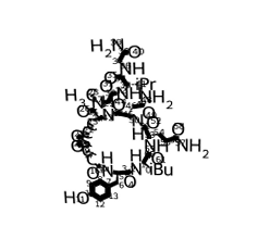 CC[C@H](C)[C@@H]1NC(=O)[C@@H](Cc2ccc(O)cc2)NC(=O)CCS(=O)(=O)CC[C@@H](C(=O)N(C)CC(=O)N[C@H](C(=O)NCC(N)=O)C(C)C)NC(=O)[C@H](CC(N)=O)NC(=O)[C@H](CCC(N)=O)NC1=O